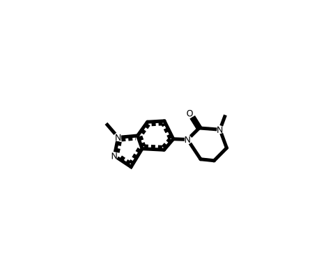 CN1CCCN(c2ccc3c(cnn3C)c2)C1=O